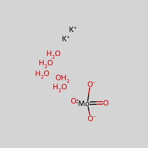 O.O.O.O.O.[K+].[K+].[O]=[Mo](=[O])([O-])[O-]